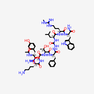 CNC(=N)NCCC[C@H](NC(=O)[C@H](CC(C)C)NC(=O)NNC(=O)[C@H](Cc1ccccc1)NC(=O)C(NC(=O)[C@H](CC(N)=O)NC(=O)[C@H](CCCCN)NC(=O)[C@@H](Cc1ccc(O)cc1)NC(C)=O)[C@@H](C)O)C(=O)N[C@@H](Cc1c[nH]c2ccccc12)C(N)=O